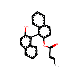 C/C=C/C(=O)Oc1ccc2ccccc2c1-c1c(O)ccc2ccccc12